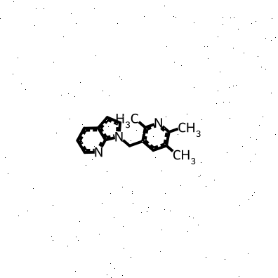 Cc1cc(Cn2ccc3cccnc32)c(C)nc1C